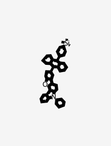 C[Si](C)(C)c1ccc(-c2c3ccccc3c(-c3ccc4oc5c(ccc6c5c5ccccc5n6-c5ccccc5)c4c3)c3ccccc23)cc1